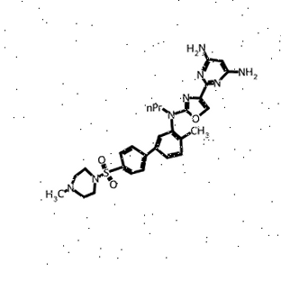 CCCN(c1nc(-c2nc(N)cc(N)n2)co1)c1cc(-c2ccc(S(=O)(=O)N3CCN(C)CC3)cc2)ccc1C